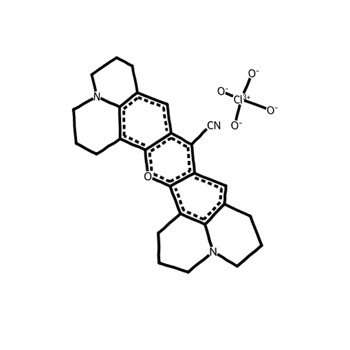 N#Cc1c2cc3c4c(c2[o+]c2c5c6c(cc12)CCCN6CCC5)CCCN4CCC3.[O-][Cl+3]([O-])([O-])[O-]